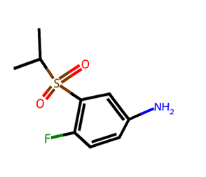 CC(C)S(=O)(=O)c1cc(N)ccc1F